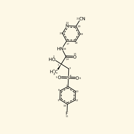 C[C@](O)(CS(=O)(=O)c1ccc(F)cc1)C(=O)Nc1ccc(C#N)nc1